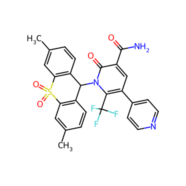 Cc1ccc2c(c1)S(=O)(=O)c1cc(C)ccc1C2n1c(C(F)(F)F)c(-c2ccncc2)cc(C(N)=O)c1=O